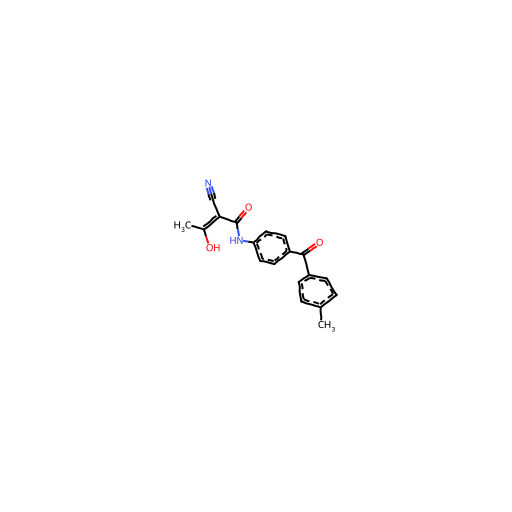 CC(O)=C(C#N)C(=O)Nc1ccc(C(=O)c2ccc(C)cc2)cc1